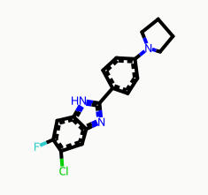 Fc1cc2[nH]c(-c3ccc(N4CCCC4)cc3)nc2cc1Cl